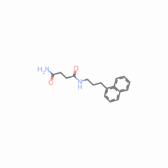 NC(=O)CCC(=O)NCCCc1cccc2ccccc12